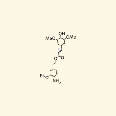 CCOc1cc(CCOC(=O)/C=C/c2cc(OC)c(O)c(OC)c2)ccc1N